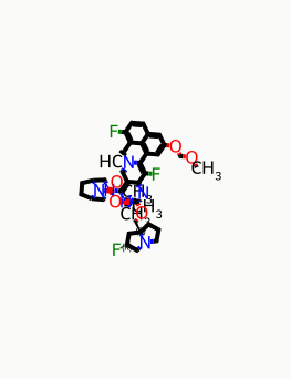 C#Cc1c(F)ccc2cc(OCOC)cc(-c3ncc4c(N5CC6CCC(C5)N6C(=O)OC(C)(C)C)nc(OC[C@@]56CCCN5C[C@H](F)C6)nc4c3F)c12